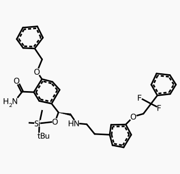 CC(C)(C)[Si](C)(C)O[C@H](CNCCc1cccc(OCC(F)(F)c2ccccc2)c1)c1ccc(OCc2ccccc2)c(C(N)=O)c1